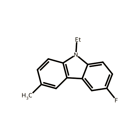 CCn1c2ccc(C)cc2c2cc(F)ccc21